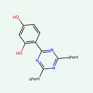 CCCCCc1nc(CCCCC)nc(-c2ccc(O)cc2O)n1